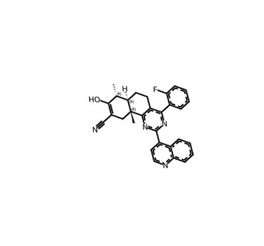 C[C@H]1C(O)=C(C#N)C[C@@]2(C)c3nc(-c4ccnc5ccccc45)nc(-c4ccccc4F)c3CC[C@H]12